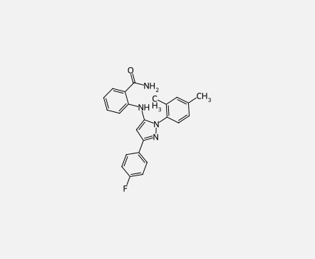 Cc1ccc(-n2nc(-c3ccc(F)cc3)cc2Nc2ccccc2C(N)=O)c(C)c1